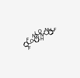 Cc1nc2c(OCc3c(F)cccc3F)cccn2c1C(=O)NC(CN)Cc1ccc(F)cc1